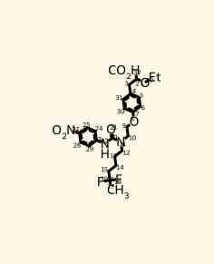 CCOC(Cc1ccc(OCCN(CCCCC(C)(F)F)C(=O)Nc2ccc([N+](=O)[O-])cc2)cc1)C(=O)O